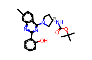 Cc1ccc2c(N3CC[C@H](NC(=O)OC(C)(C)C)C3)nc(-c3ccccc3O)nc2c1